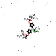 C[C](C)=[Zr]([C]1=CC(OC(C)O[Si](C)(C)C)=CC1)[C]1=CC(OC(C)O[Si](C)(C)C)=CC1.Cl.Cl